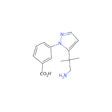 CC(C)(CN)c1ccnn1-c1cccc(C(=O)O)c1